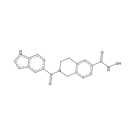 O=C(NO)c1ccc2c(c1)CCN(C(=O)c1ccc3[nH]ccc3c1)C2